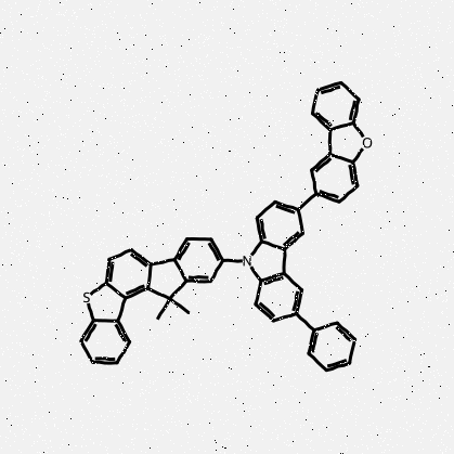 CC1(C)c2cc(-n3c4ccc(-c5ccccc5)cc4c4cc(-c5ccc6oc7ccccc7c6c5)ccc43)ccc2-c2ccc3sc4ccccc4c3c21